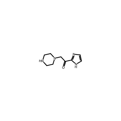 O=C(CN1CCNCC1)c1ncc[nH]1